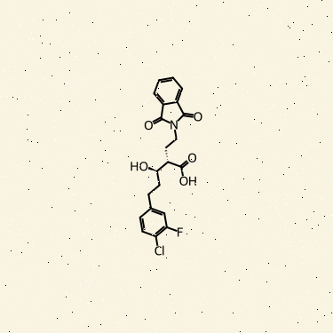 O=C(O)[C@@H](CCN1C(=O)c2ccccc2C1=O)[C@H](O)CCc1ccc(Cl)c(F)c1